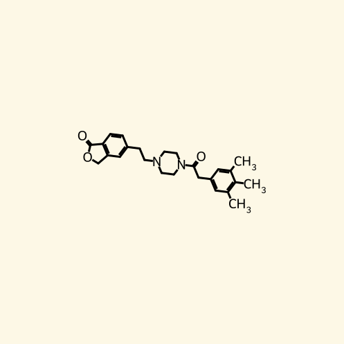 Cc1cc(CC(=O)N2CCN(CCc3ccc4c(c3)COC4=O)CC2)cc(C)c1C